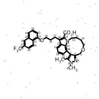 Cc1c2c(nn1C)COCCCCn1c(C(=O)O)c(CCCOc3cccc4cc(C(F)(F)F)ccc34)c3cccc-2c31